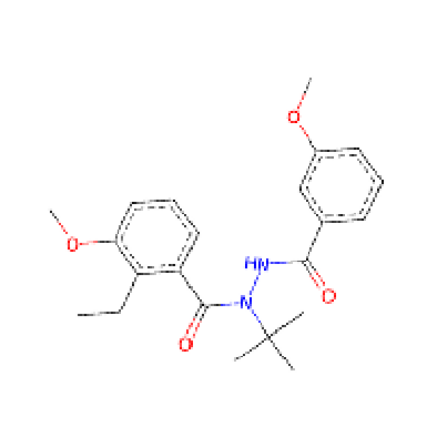 CCc1c(OC)cccc1C(=O)N(NC(=O)c1cccc(OC)c1)C(C)(C)C